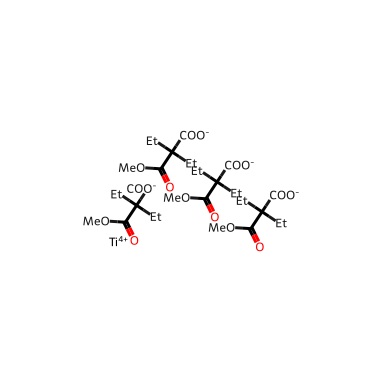 CCC(CC)(C(=O)[O-])C(=O)OC.CCC(CC)(C(=O)[O-])C(=O)OC.CCC(CC)(C(=O)[O-])C(=O)OC.CCC(CC)(C(=O)[O-])C(=O)OC.[Ti+4]